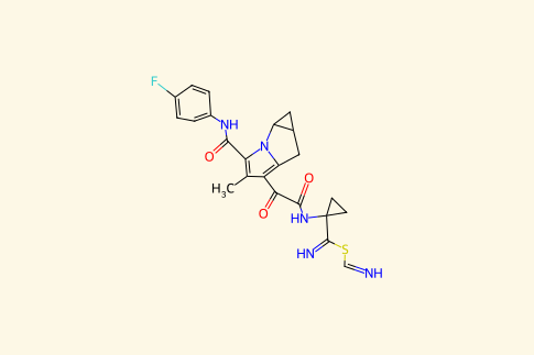 Cc1c(C(=O)C(=O)NC2(C(=N)SC=N)CC2)c2n(c1C(=O)Nc1ccc(F)cc1)C1CC1C2